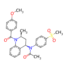 COc1ccc(C(=O)N2c3ccccc3[C@H](N(C(C)=O)c3ccc(S(C)(=O)=O)cc3)C[C@@H]2C)cc1